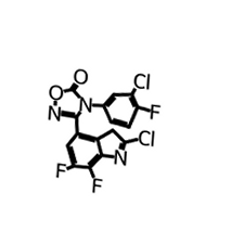 O=c1onc(-c2cc(F)c(F)c3c2CC(Cl)=N3)n1-c1ccc(F)c(Cl)c1